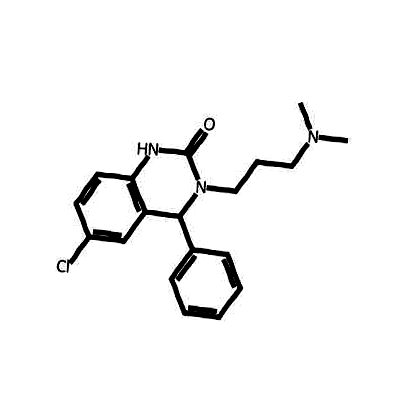 CN(C)CCCN1C(=O)Nc2ccc(Cl)cc2C1c1ccccc1